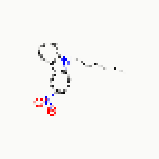 CCCCCCn1c2cc[c]cc2c2cc([N+](=O)[O-])ccc21